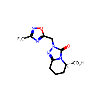 O=C(O)[C@@H]1CCCc2nn(Cc3nc(C(F)(F)F)no3)c(=O)n21